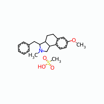 COc1ccc2c(c1)CCC1C2CN(C)C1Cc1ccccc1.CS(=O)(=O)O